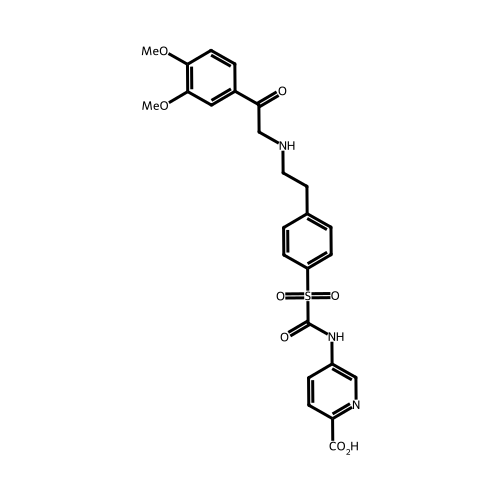 COc1ccc(C(=O)CNCCc2ccc(S(=O)(=O)C(=O)Nc3ccc(C(=O)O)nc3)cc2)cc1OC